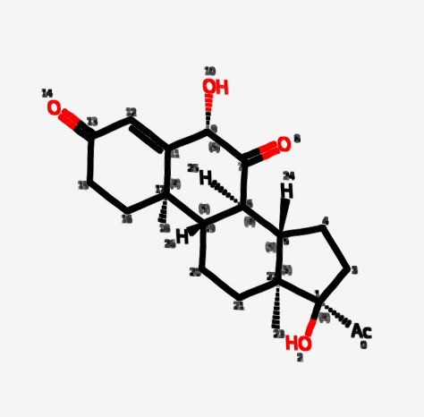 CC(=O)[C@@]1(O)CC[C@H]2[C@@H]3C(=O)[C@@H](O)C4=CC(=O)CC[C@]4(C)[C@H]3CC[C@@]21C